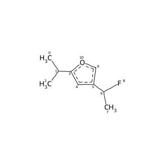 CC(C)c1cc(C(C)F)co1